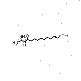 CCCCCCCCC=CCCCCCCCC(=O)NC(C)N